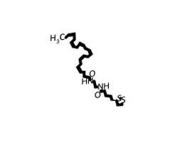 CC/C=C\C/C=C\C/C=C\C/C=C\C/C=C\C/C=C\CCC(=O)NCCNC(=O)CCCC[C@@H]1CCSS1